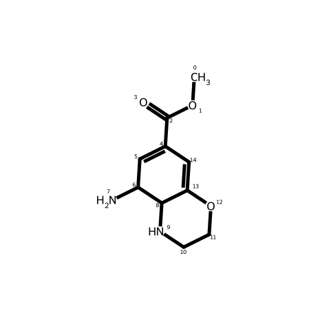 COC(=O)C1=CC(N)C2NCCOC2=C1